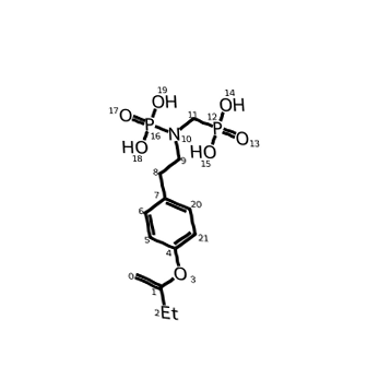 C=C(CC)Oc1ccc(CCN(CP(=O)(O)O)P(=O)(O)O)cc1